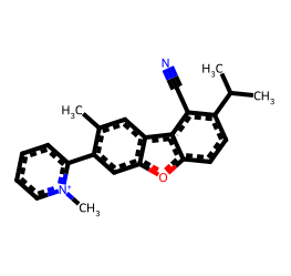 Cc1cc2c(cc1-c1cccc[n+]1C)oc1ccc(C(C)C)c(C#N)c12